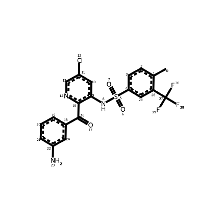 Cc1ccc(S(=O)(=O)Nc2cc(Cl)cnc2C(=O)c2cccc(N)c2)cc1C(F)(F)F